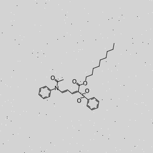 CCCCCCCCCOC(=O)/C(=C\C=C\N(C(C)=O)c1ccccc1)S(=O)(=O)c1ccccc1